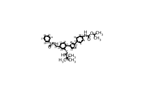 CC(C)OC(=O)Nc1ccc(-c2ncc(-c3ccc(CN[S+]([O-])c4ccccc4)cc3SNC(C)(C)C)s2)cc1